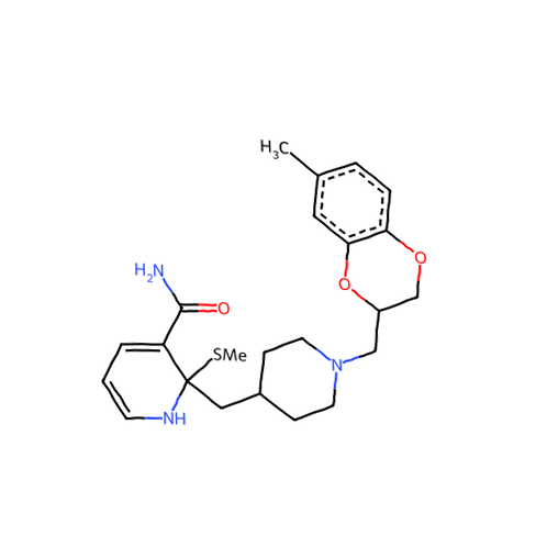 CSC1(CC2CCN(CC3COc4ccc(C)cc4O3)CC2)NC=CC=C1C(N)=O